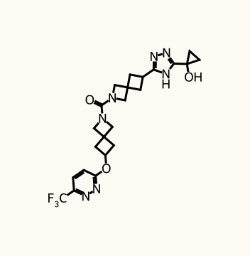 O=C(N1CC2(CC(Oc3ccc(C(F)(F)F)nn3)C2)C1)N1CC2(CC(c3nnc(C4(O)CC4)[nH]3)C2)C1